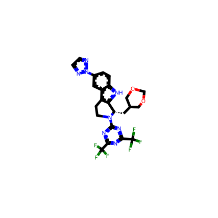 FC(F)(F)c1nc(N2CCc3c([nH]c4ccc(-n5nccn5)cc34)[C@@H]2CC2COCOC2)nc(C(F)(F)F)n1